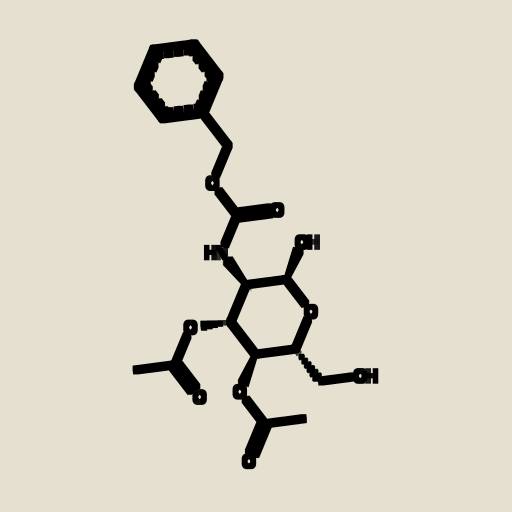 CC(=O)O[C@@H]1[C@@H](NC(=O)OCc2ccccc2)[C@@H](O)O[C@H](CO)[C@H]1OC(C)=O